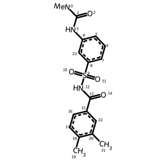 CNC(=O)Nc1cccc(S(=O)(=O)NC(=O)c2ccc(C)c(C)c2)c1